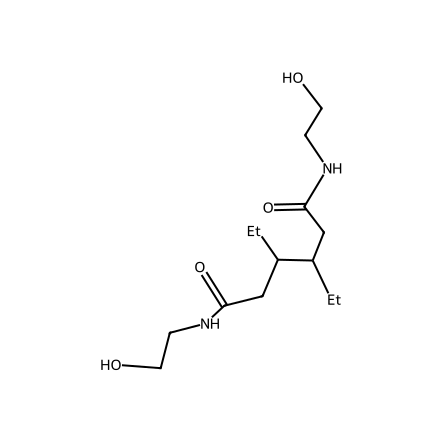 CCC(CC(=O)NCCO)C(CC)CC(=O)NCCO